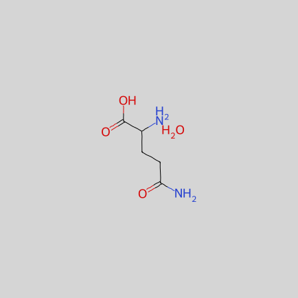 NC(=O)CCC(N)C(=O)O.O